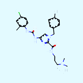 Cc1cc(Cl)ccc1NC(=O)Nc1cn(Cc2ccc(C(F)(F)F)cc2)c(C(=O)NCC[C@@H](C(=O)O)N(C)C)n1